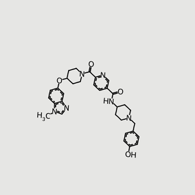 Cn1cnc2cc(OC3CCN(C(=O)c4ccc(C(=O)NC5CCN(Cc6ccc(O)cc6)CC5)cn4)CC3)ccc21